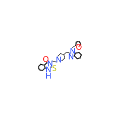 O=c1c2ccccc2[nH]c(=S)n1CCN1CCC(Cc2nc3ccccc3n2Cc2ccco2)CC1